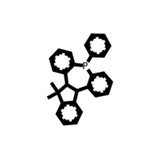 CC1(C)c2ccccc2C2c3ccccc3P(c3ccccc3)c3ccccc3C21